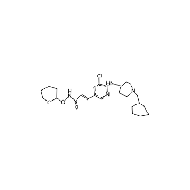 O=C(C=Cc1cnc(NC2CCN(CC3CCCCC3)CC2)c(Cl)c1)NOC1CCCCO1